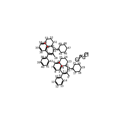 CC(=C(c1ccccc1)c1ccccc1)P(C1CCCCC1)C1CCCCC1.CC(=C(c1ccccc1)c1ccccc1)P(C1CCCCC1)C1CCCCC1.[Cl][Pd][Cl]